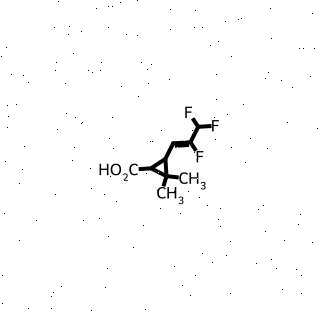 CC1(C)C(C=C(F)C(F)F)C1C(=O)O